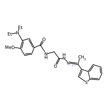 CCN(CC)c1cc(C(=O)NCC(=O)N/N=C(\C)c2csc3ccccc23)ccc1OC